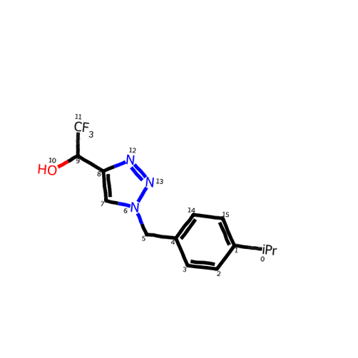 CC(C)c1ccc(Cn2cc(C(O)C(F)(F)F)nn2)cc1